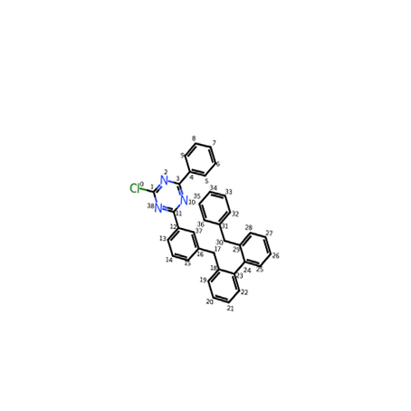 Clc1nc(-c2ccccc2)nc(-c2cccc(Cc3ccccc3-c3ccccc3Cc3ccccc3)c2)n1